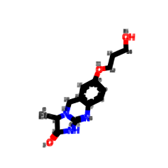 CCC1C(=O)NC2=Nc3ccc(OCCCO)cc3CN21